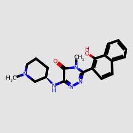 CN1CCC[C@@H](Nc2nnc(-c3ccc4ccccc4c3O)n(C)c2=O)C1